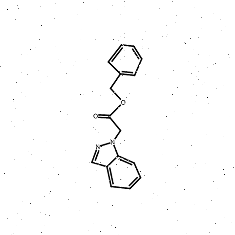 O=C(Cn1ncc2ccccc21)OCc1ccccc1